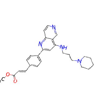 COC(=O)/C=C/c1ccc(-c2cc(NCCCN3CCCCC3)c3cnccc3n2)cc1